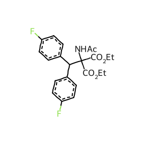 CCOC(=O)C(NC(C)=O)(C(=O)OCC)C(c1ccc(F)cc1)c1ccc(F)cc1